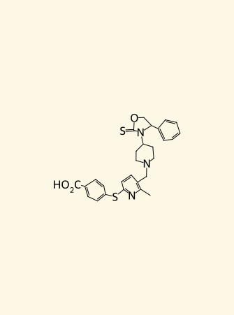 Cc1nc(Sc2ccc(C(=O)O)cc2)ccc1CN1CCC(N2C(=S)OCC2c2ccccc2)CC1